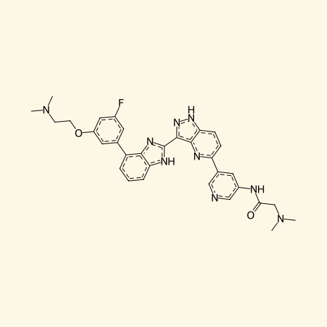 CN(C)CCOc1cc(F)cc(-c2cccc3[nH]c(-c4n[nH]c5ccc(-c6cncc(NC(=O)CN(C)C)c6)nc45)nc23)c1